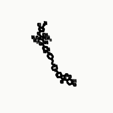 CC1(C)C(NC(=O)c2cnc(N3CCC(CCN4CCN(c5ccc6c(c5)C(=O)N(C5CCC(=O)NC5=O)C6=O)CC4)CC3)nc2)C(C)(C)C1Oc1ccc(C#N)c(Cl)c1